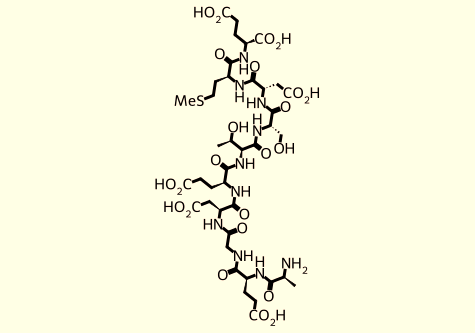 CSCC[C@H](NC(=O)[C@H](CC(=O)O)NC(=O)[C@H](CO)NC(=O)[C@@H](NC(=O)[C@H](CCC(=O)O)NC(=O)[C@H](CC(=O)O)NC(=O)CNC(=O)[C@H](CCC(=O)O)NC(=O)[C@H](C)N)[C@@H](C)O)C(=O)N[C@@H](CCC(=O)O)C(=O)O